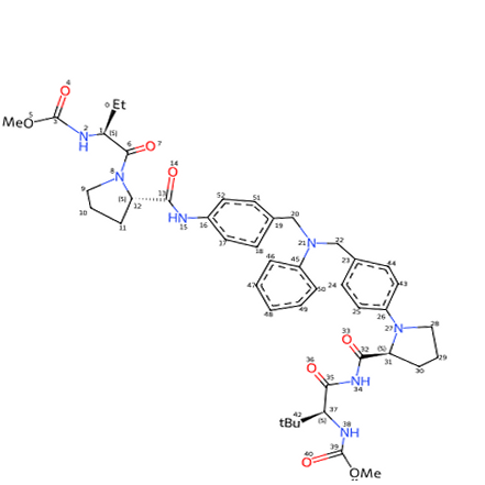 CC[C@H](NC(=O)OC)C(=O)N1CCC[C@H]1C(=O)Nc1ccc(CN(Cc2ccc(N3CCC[C@H]3C(=O)NC(=O)[C@@H](NC(=O)OC)C(C)(C)C)cc2)c2ccccc2)cc1